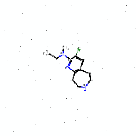 CCN(C)c1nc2c(cc1Br)CCNCC2